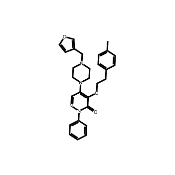 Cc1ccc(CCOc2c(N3CCN(Cc4ccoc4)CC3)cnn(-c3ccccc3)c2=O)cc1